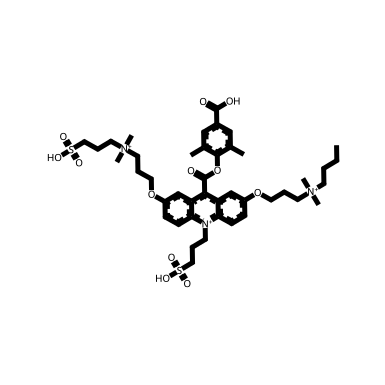 CCCC[N+](C)(C)CCCOc1ccc2c(c1)c(C(=O)Oc1c(C)cc(C(=O)O)cc1C)c1cc(OCCC[N+](C)(C)CCCS(=O)(=O)O)ccc1[n+]2CCCS(=O)(=O)O